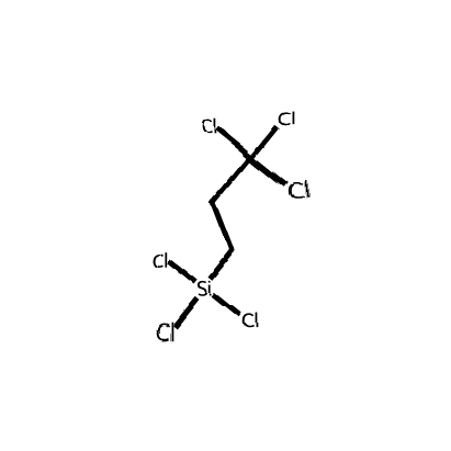 ClC(Cl)(Cl)CC[Si](Cl)(Cl)Cl